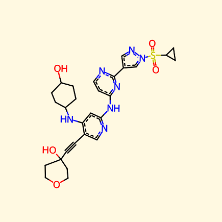 O=S(=O)(C1CC1)n1cc(-c2nccc(Nc3cc(NC4CCC(O)CC4)c(C#CC4(O)CCOCC4)cn3)n2)cn1